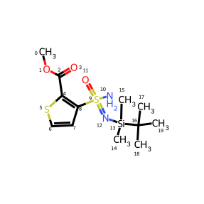 COC(=O)c1sccc1S(N)(=O)=N[Si](C)(C)C(C)(C)C